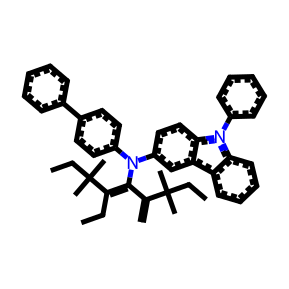 C=C(/C(=C(\CC)C(C)(C)CC)N(c1ccc(-c2ccccc2)cc1)c1ccc2c(c1)c1ccccc1n2-c1ccccc1)C(C)(C)CC